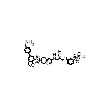 CNS(=O)(=O)c1cccc(OCC(O)CNC2COC3(CCN(S(=O)(=O)c4cc(-c5ccc(CN)cc5)cc5c4OCC5)CC3)C2)c1